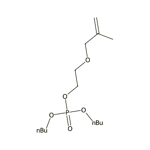 C=C(C)COCCOP(=O)(OCCCC)OCCCC